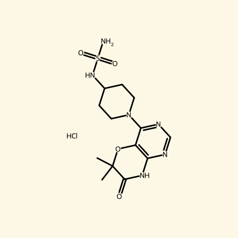 CC1(C)Oc2c(ncnc2N2CCC(NS(N)(=O)=O)CC2)NC1=O.Cl